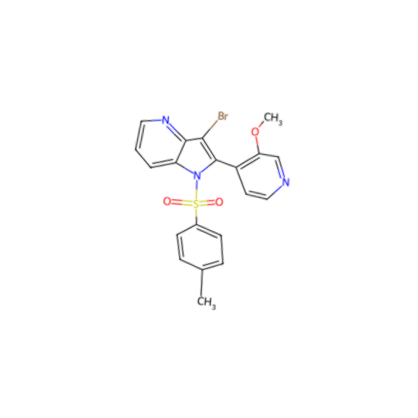 COc1cnccc1-c1c(Br)c2ncccc2n1S(=O)(=O)c1ccc(C)cc1